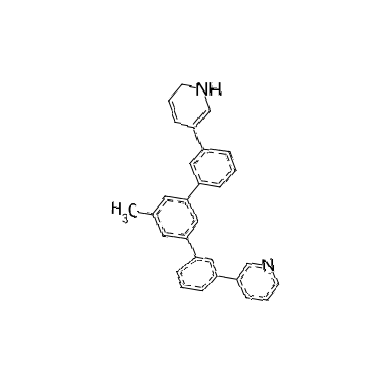 Cc1cc(-c2cccc(C3=CNCC=C3)c2)cc(-c2cccc(-c3cccnc3)c2)c1